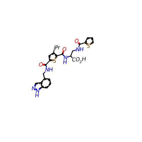 CC(C)c1cc(C(=O)NCc2cccc3[nH]ncc23)sc1C(=O)NC(CNC(=O)c1cccs1)C(=O)O